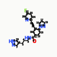 O=C(NCCCc1cn[nH]c1)c1ccc(-n2cccn2)c(C#Cc2ccc(F)cn2)c1